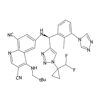 Cc1c([C@H](Nc2cc(C#N)c3ncc(C#N)c(NCC(C)(C)C)c3c2)c2cn(C3(C(F)F)CC3)nn2)cccc1-n1cnnc1